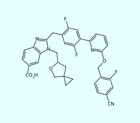 N#Cc1ccc(COc2cccc(-c3cc(F)c(Cc4nc5ccc(C(=O)O)cc5n4CC4CC5(CC5)CO4)cc3F)n2)c(F)c1